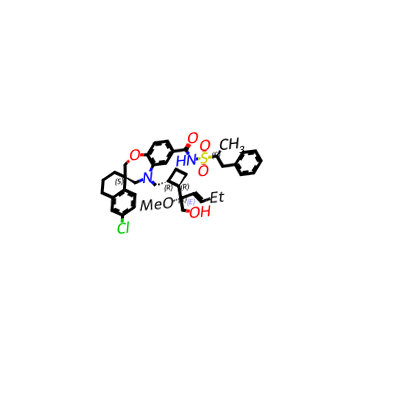 CC/C=C/[C@](CO)(OC)[C@@H]1CC[C@H]1CN1C[C@@]2(CCCc3cc(Cl)ccc32)COc2ccc(C(=O)NS(=O)(=O)[C@@H](C)Cc3ccccc3)cc21